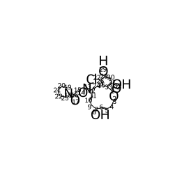 O=C1OCC/C=C/C(O)C/C=C/C(=N\OCC(=O)N2CCCCC2)Cc2c(Cl)c(O)cc(O)c21